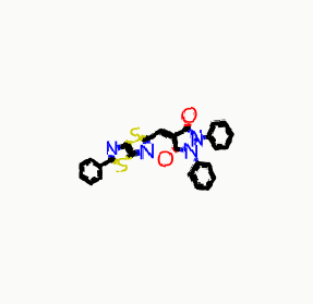 O=C1C(=Cc2nc3sc(-c4ccccc4)nc3s2)C(=O)N(c2ccccc2)N1c1ccccc1